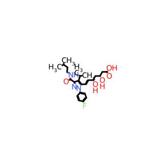 CC(C)CCNC(=O)c1nn(-c2ccc(F)cc2)c(/C=C/[C@@H](O)C[C@@H](O)CC(=O)O)c1C(C)C